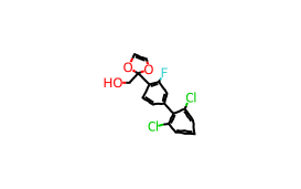 OCC1(c2ccc(-c3c(Cl)cccc3Cl)cc2F)OC=CO1